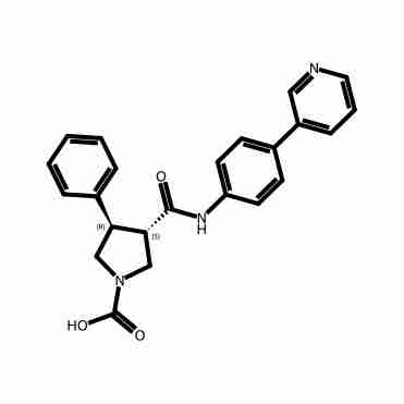 O=C(Nc1ccc(-c2cccnc2)cc1)[C@@H]1CN(C(=O)O)C[C@H]1c1ccccc1